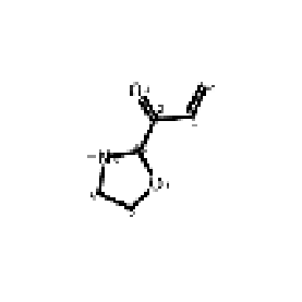 C=CC(=O)[C]1NCCO1